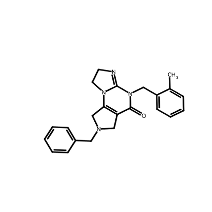 Cc1ccccc1CN1C(=O)C2=C(CN(Cc3ccccc3)C2)N2CCN=C12